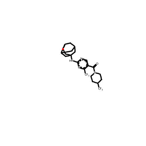 O=C(c1cnc(NC23CCC4CC(CC(C4)C2)C3)nc1C(F)(F)F)N1CCC(C(F)(F)F)CC1